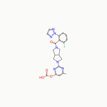 Cc1cc(OC(=O)O)nc(N2CC3CN(C(=O)c4c(F)cccc4-n4nccn4)CC3C2)n1